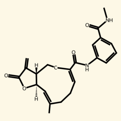 C=C1C(=O)O[C@@H]2/C=C(\C)CC/C=C(/C(=O)Nc3cccc(C(=O)NC)c3)CC[C@@H]12